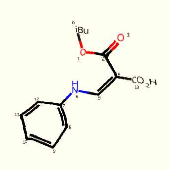 CCC(C)OC(=O)C(=CNc1ccccc1)C(=O)O